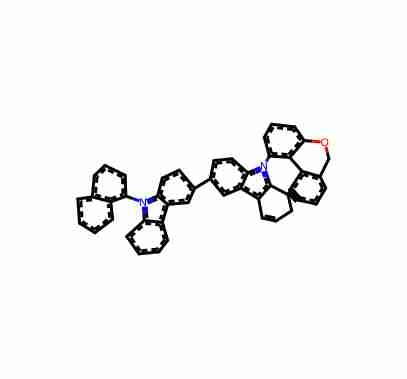 c1ccc2c(c#1)-c1c(cccc1-n1c3c(c4cc(-c5ccc6c(c5)c5ccccc5n6-c5cccc6ccccc56)ccc41)C=CCC3)OC2